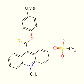 COc1ccc(OC(=S)c2c3ccccc3[n+](C)c3ccccc23)cc1.O=S(=O)([O-])C(F)(F)F